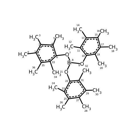 Cc1c(C)c(C)c([O][Bi]([O]c2c(C)c(C)c(C)c(C)c2C)[O]c2c(C)c(C)c(C)c(C)c2C)c(C)c1C